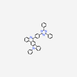 c1ccc(-c2nc(-c3ccccc3)nc(-c3ccc(-c4nc5ccccc5c5cc6c(cc45)c4ccccc4n6-c4ccccc4)cc3)n2)cc1